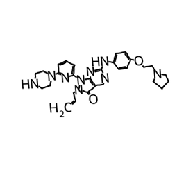 C=CCn1c(=O)c2cnc(Nc3ccc(OCCN4CCCC4)cc3)nc2n1-c1cccc(N2CCNCC2)n1